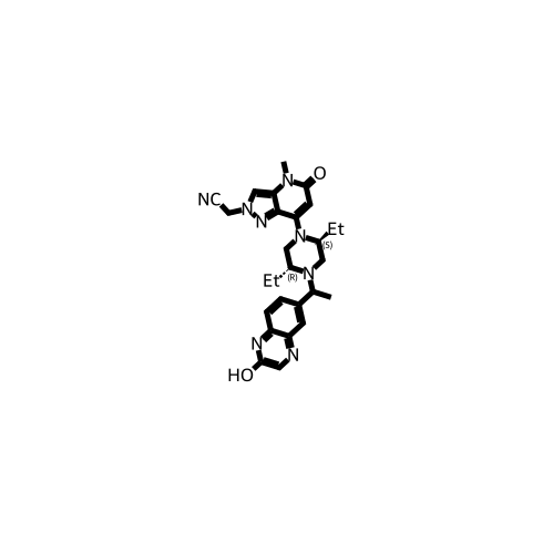 CC[C@H]1CN(C(C)c2ccc3nc(O)cnc3c2)[C@H](CC)CN1c1cc(=O)n(C)c2cn(CC#N)nc12